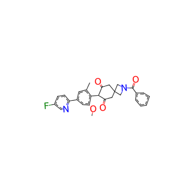 COc1cc(-c2ccc(F)cn2)cc(C)c1C1C(=O)CC2(CC1=O)CN(C(=O)c1ccccc1)C2